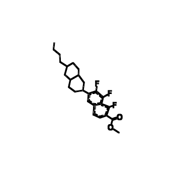 CCCCC1CCC2CC(c3cc4ccc(C(=O)OC)c(F)c4c(F)c3F)CCC2C1